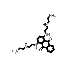 NCCNCCNc1ccc(NCCNCCN)c2c1C(=O)c1ccccc1C2=O